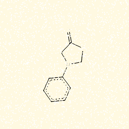 O=C1CN(c2ccccc2)CS1